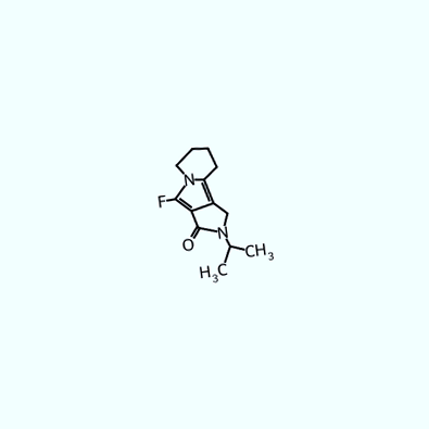 CC(C)N1Cc2c(c(F)n3c2CCCC3)C1=O